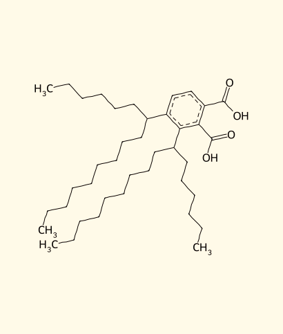 CCCCCCCCCC(CCCCCC)c1ccc(C(=O)O)c(C(=O)O)c1C(CCCCCC)CCCCCCCCC